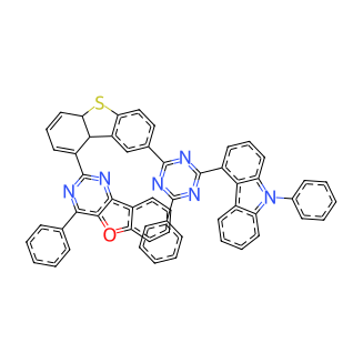 C1=CC2Sc3ccc(-c4nc(-c5ccccc5)nc(-c5cccc6c5c5ccccc5n6-c5ccccc5)n4)cc3C2C(c2nc(-c3ccccc3)c3oc4ccccc4c3n2)=C1